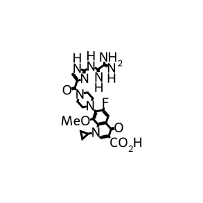 COc1c(N2CCN(C(=O)c3c[nH]c(NC(=N)C(=N)N)n3)CC2)c(F)cc2c(=O)c(C(=O)O)cn(C3CC3)c12